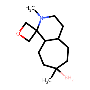 BC1(C)CCC2CCN(C)C3(COC3)C2CC1